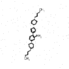 CCCCC[C@H]1CC[C@H](c2ccc(-c3ccc([C@H]4CC[C@H](CCCCC)CC4)cc3N)cc2)CC1